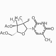 CC(=O)OC[C@H]1O[C@@H](n2cc(C)c(=O)[nH]c2=O)[C@](C)(F)[C@]1(C)OC(C)=O